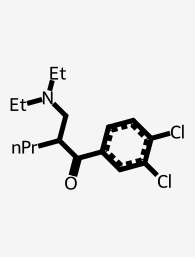 CCCC(CN(CC)CC)C(=O)c1ccc(Cl)c(Cl)c1